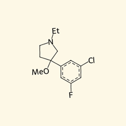 CCN1CCC(OC)(c2cc(F)cc(Cl)c2)C1